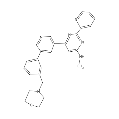 CNc1cc(-c2cncc(-c3cccc(CN4CCOCC4)c3)c2)nc(-c2ccccn2)n1